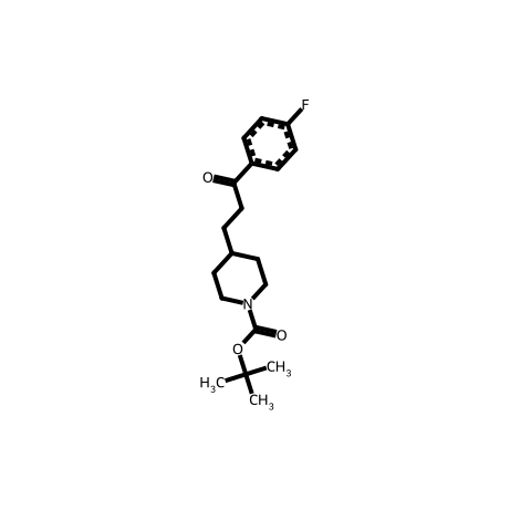 CC(C)(C)OC(=O)N1CCC(CCC(=O)c2ccc(F)cc2)CC1